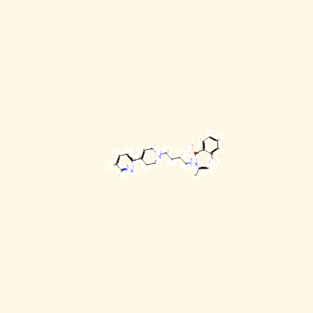 CC1=COc2ccccc2C(=O)N1CCCCN1CC=C(c2ccccn2)CC1